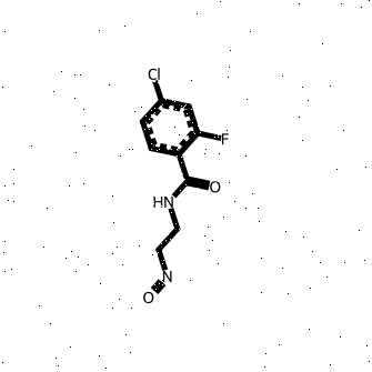 O=NCCNC(=O)c1ccc(Cl)cc1F